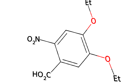 CCOc1cc(C(=O)O)c([N+](=O)[O-])cc1OCC